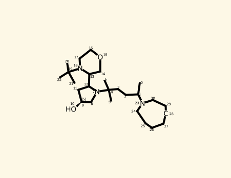 CC(CCC(C)(C)N1C[C@@H](O)CC1C1COCCN1C(C)(C)C)N1CCCCCCC1